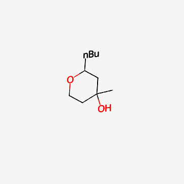 CCCCC1CC(C)(O)CCO1